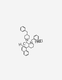 CC(C1C(c2cccc3ccccc23)CCCN1Cc1ccccc1)N1CCC(Cc2ccccc2)CC1.Cl.Cl